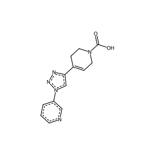 O=C(O)N1CC=C(c2cn(-c3cccnc3)nn2)CC1